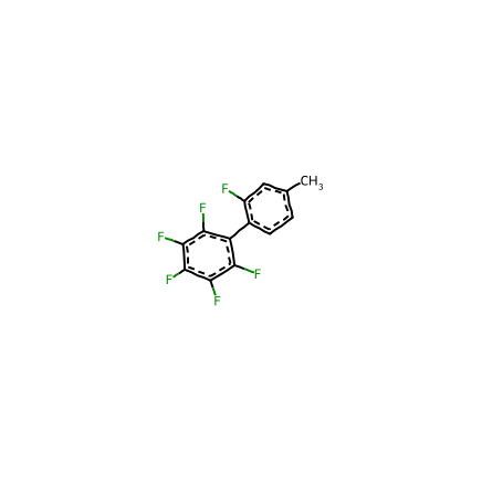 Cc1ccc(-c2c(F)c(F)c(F)c(F)c2F)c(F)c1